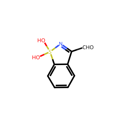 O=CC1=NS(O)(O)c2ccccc21